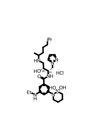 CCNc1cc(C(=O)N[C@@H](Cn2cccn2)[C@H](O)CNC(C)CCCC(C)C)cc(N2CCCCS2(O)O)c1.Cl